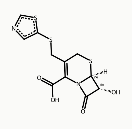 O=C(O)C1=C(CSc2cncs2)CS[C@H]2[C@H](O)C(=O)N12